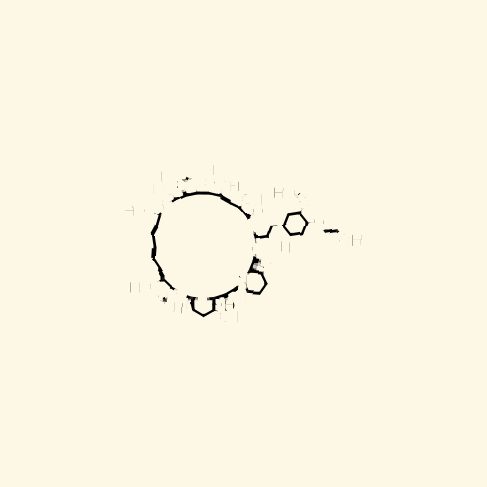 CO[C@H]1C[C@@H]2CC[C@@H](C)[C@@](O)(O2)C(=O)C(=O)N2CCCC[C@H]2C(=O)C[C@H]([C@H](C)C[C@@H]2CC[C@@H](OCCO)[C@H](OC)C2)CC(=O)[C@H](C)/C=C(\C)[C@@H](O)[C@@H](OC)C(=O)[C@H](C)C[C@H](C)/C=C/C=C/C=C/1C